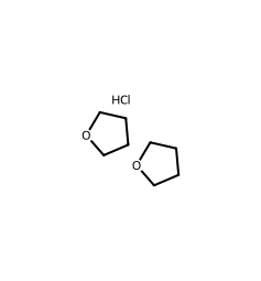 C1CCOC1.C1CCOC1.Cl